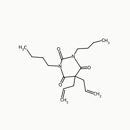 C=CCC1(CC=C)C(=O)N(CCCC)C(=O)N(CCCC)C1=O